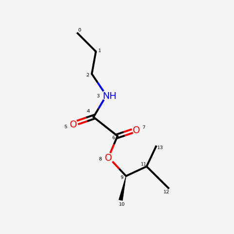 CCCNC(=O)C(=O)O[C@H](C)C(C)C